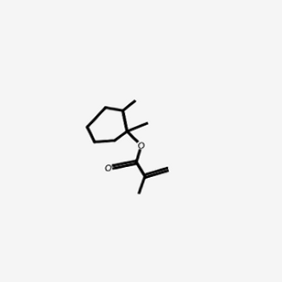 C=C(C)C(=O)OC1(C)CCCCC1C